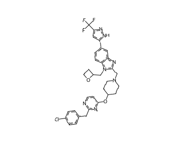 FC(F)(F)c1cc(-c2ccc3c(c2)nc(CN2CCC(Oc4ccnc(Cc5ccc(Cl)cc5)n4)CC2)n3CC2CCO2)[nH]n1